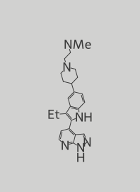 CCc1c(-c2ccnc3[nH]ncc23)[nH]c2ccc(C3CCN(CCNC)CC3)cc12